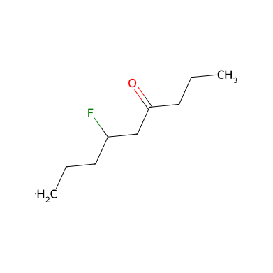 [CH2]CCC(F)CC(=O)CCC